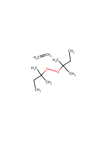 C=C.CCC(C)(C)OOC(C)(C)CC